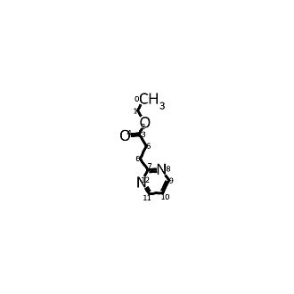 CCOC(=O)CCc1ncccn1